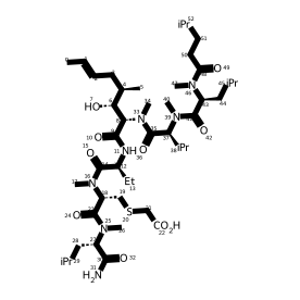 C/C=C/C[C@@H](C)[C@@H](O)[C@@H](C(=O)N[C@@H](CC)C(=O)N(C)[C@H](CSCC(=O)O)C(=O)N(C)[C@@H](CC(C)C)C(N)=O)N(C)C(=O)[C@H](C(C)C)N(C)C(=O)[C@H](CC(C)C)N(C)C(=O)CCC(C)C